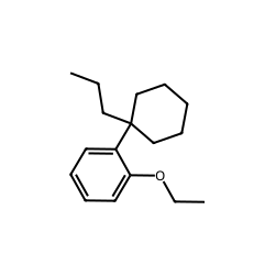 CCCC1(c2ccccc2OCC)CCCCC1